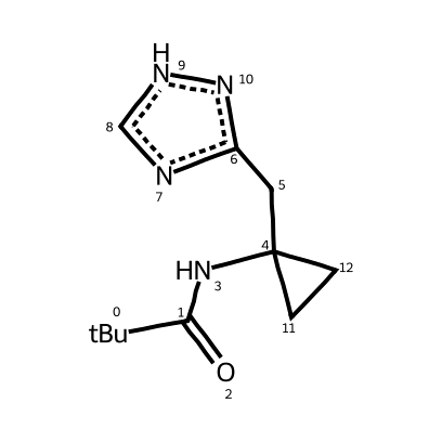 CC(C)(C)C(=O)NC1(Cc2nc[nH]n2)CC1